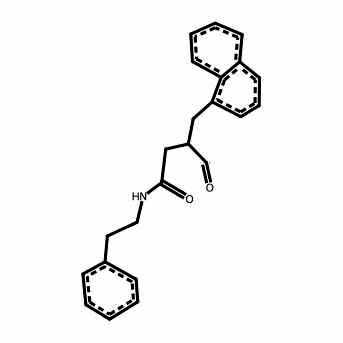 O=[C]C(CC(=O)NCCc1ccccc1)Cc1cccc2ccccc12